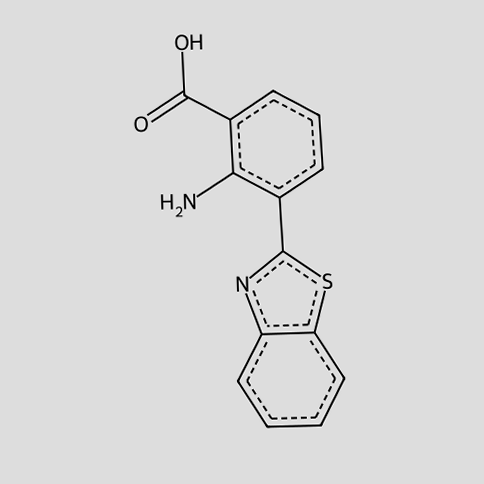 Nc1c(C(=O)O)cccc1-c1nc2ccccc2s1